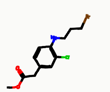 COC(=O)Cc1ccc(NCCCBr)c(Cl)c1